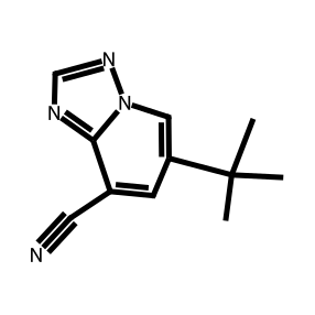 CC(C)(C)c1cc(C#N)c2ncnn2c1